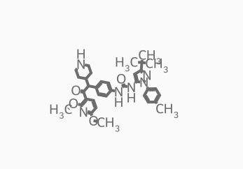 COc1ccc(C(=O)C(c2ccc(NC(=O)Nc3cc(C(C)(C)C)nn3-c3ccc(C)cc3)cc2)C2CCNCC2)c(OC)n1